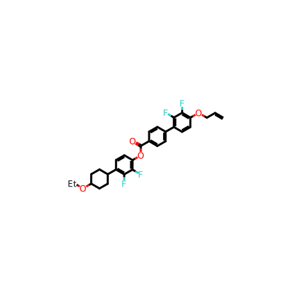 C=CCOc1ccc(-c2ccc(C(=O)Oc3ccc(C4CCC(OCC)CC4)c(F)c3F)cc2)c(F)c1F